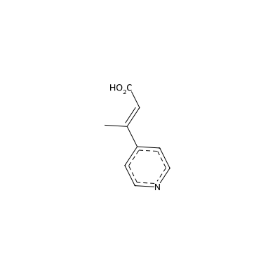 C/C(=C\C(=O)O)c1ccncc1